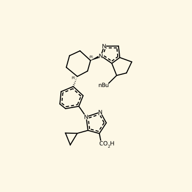 CCCCC1CCc2cnn([C@@H]3CCC[C@@H](c4cccc(-n5ncc(C(=O)O)c5C5CC5)c4)C3)c21